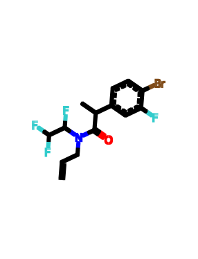 C=CCN(C(=O)C(C)c1ccc(Br)c(F)c1)C(F)C(F)F